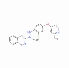 N#Cc1cc(Oc2ccc(NN(C=O)c3cc4ccccc4cn3)c(F)c2)ccn1